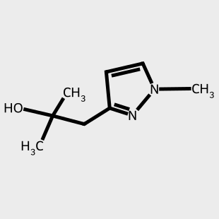 Cn1ccc(CC(C)(C)O)n1